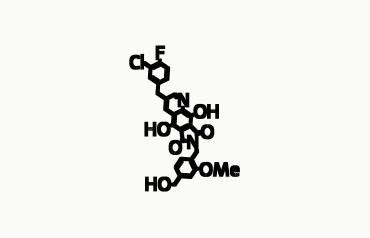 COc1cc(CO)ccc1CN1C(=O)c2c(c(O)c3ncc(Cc4ccc(F)c(Cl)c4)cc3c2O)C1=O